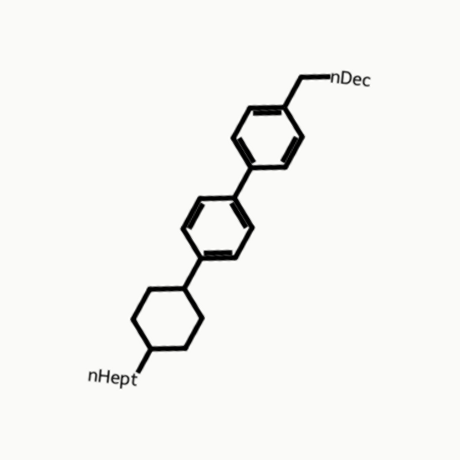 CCCCCCCCCCCc1ccc(-c2ccc(C3CCC(CCCCCCC)CC3)cc2)cc1